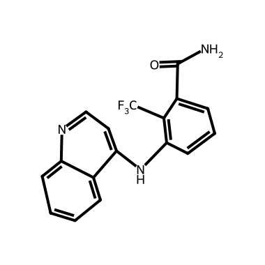 NC(=O)c1cccc(Nc2ccnc3ccccc23)c1C(F)(F)F